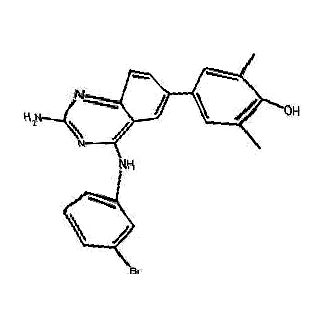 Cc1cc(-c2ccc3nc(N)nc(Nc4cccc(Br)c4)c3c2)cc(C)c1O